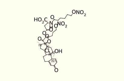 C[C@H]1CC2C3CCC4=CC(=O)C=C[C@]4(C)[C@@]3(Cl)[C@@H](O)C[C@]2(C)[C@@]1(OC(=O)CCCO[N+](=O)[O-])C(=O)COC(=O)CC(NC(=O)CCCCCO[N+](=O)[O-])C(=O)O